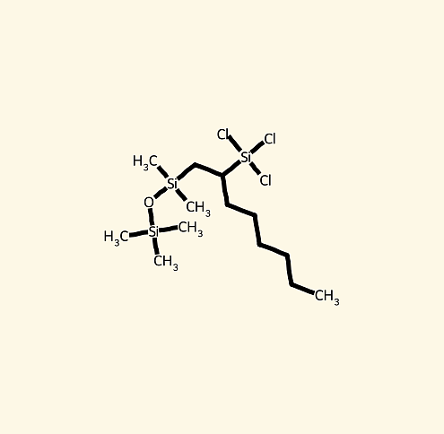 CCCCCCC(C[Si](C)(C)O[Si](C)(C)C)[Si](Cl)(Cl)Cl